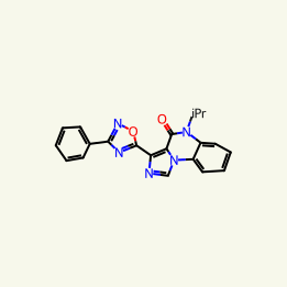 CC(C)n1c(=O)c2c(-c3nc(-c4ccccc4)no3)ncn2c2ccccc21